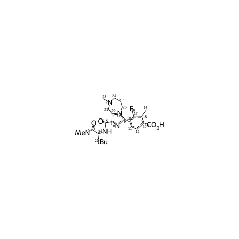 CNC(=O)[C@@H](NC(=O)c1nc(-c2ccc(C(=O)O)c(C)c2F)n2c1CN(C)CCC2)C(C)(C)C